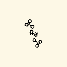 c1cc(-c2ccnc(-c3cc(-c4cccc(-n5c6ccccc6c6ccccc65)c4)ccn3)c2)cc(-n2c3ccccc3c3ccccc32)c1